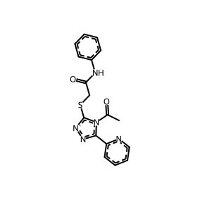 CC(=O)n1c(SCC(=O)Nc2ccccc2)nnc1-c1ccccn1